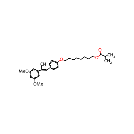 C=C(C)C(=O)OCCCCCCCCOc1ccc(/C=C(\C#N)c2cc(OC)cc(OC)c2)cc1